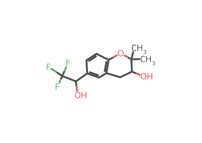 CC1(C)Oc2ccc(C(O)C(F)(F)F)cc2CC1O